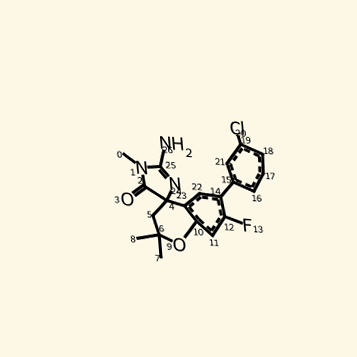 CN1C(=O)C2(CC(C)(C)Oc3cc(F)c(-c4cccc(Cl)c4)cc32)N=C1N